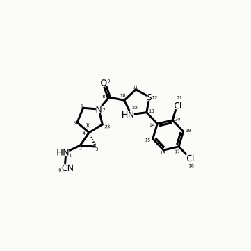 N#CNC1C[C@@]12CCN(C(=O)C1CSC(c3ccc(Cl)cc3Cl)N1)C2